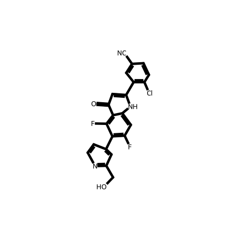 N#Cc1ccc(Cl)c(-c2cc(=O)c3c(F)c(-c4ccnc(CO)c4)c(F)cc3[nH]2)c1